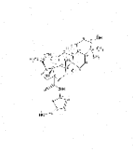 C=C(C)[C@@H]1CC[C@]2(C(=O)NC3C=CC(CO)C3)CC[C@]3(C)[C@H](CCC4[C@@]5(C)CC[C@H](O)C(C)(C)C5CC[C@]43C)[C@@H]12